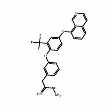 N=C(Cc1cccc(Oc2ccc(Oc3cccc4ccncc34)cc2C(F)(F)F)c1)NN